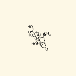 C.C[C@]12C=C3C(=O)C=C1CC(Br)[C@@H]1[C@@H]2C(O)C[C@@]2(C)[C@H]1CC3[C@]2(O)C(=O)CO